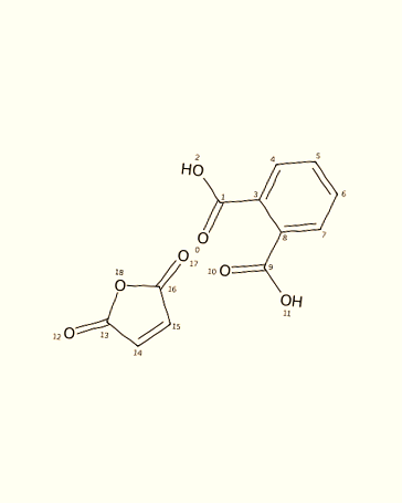 O=C(O)c1ccccc1C(=O)O.O=C1C=CC(=O)O1